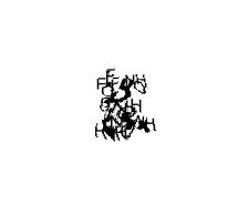 CC(C)(C)NC(=O)C(=O)N1[C@@H]2C[C@@H]2C[C@H]1C(=O)NC(CC1CCNC1=O)C(=O)COC(F)(F)F